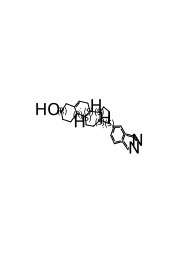 C[C@]12CC[C@H]3[C@@H](CC=C4C[C@H](O)CC[C@@]43C)[C@@H]1CC[C@@H]2c1ccc2cnncc2c1